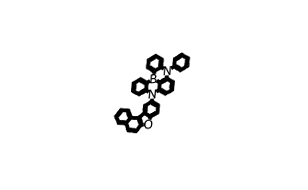 c1ccc(N2c3ccccc3B3c4ccccc4N(c4ccc5oc6ccc7ccccc7c6c5c4)c4cccc2c43)cc1